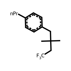 [CH2]CCc1ccc(CC(C)(C)CC(F)(F)F)cc1